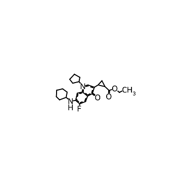 CCOC(=O)C1CC1c1cn(C2CCCC2)c2cc(NC3CCCCC3)c(F)cc2c1=O